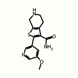 COc1cncc(-c2sc3c(c2C(N)=O)CCNC3)c1